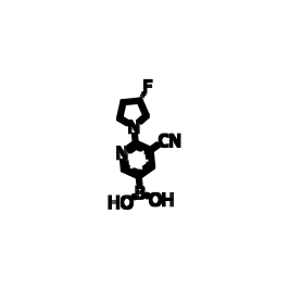 N#Cc1cc(B(O)O)cnc1N1CC[C@H](F)C1